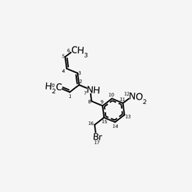 C=C/C(=C\C=C/C)NCc1cc([N+](=O)[O-])ccc1CBr